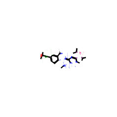 Cc1nc(N[C@H](C)c2cccc(C(F)(F)C(C)(C)O)c2F)c2cc(P(=O)(C(C)C)C(C)C)c(C)nc2n1